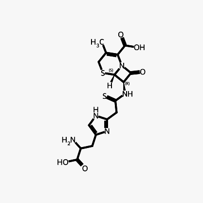 CC1=C(C(=O)O)N2C(=O)[C@@H](NC(=S)Cc3nc(CC(N)C(=O)O)c[nH]3)[C@@H]2SC1